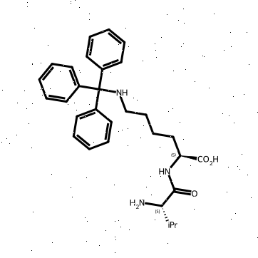 CC(C)[C@H](N)C(=O)N[C@@H](CCCCNC(c1ccccc1)(c1ccccc1)c1ccccc1)C(=O)O